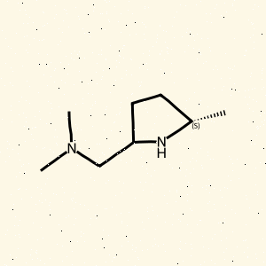 C[C@H]1CCC(CN(C)C)N1